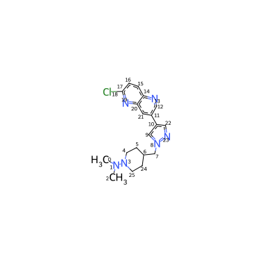 CN(C)N1CCC(Cn2cc(-c3cnc4ccc(Cl)nc4c3)cn2)CC1